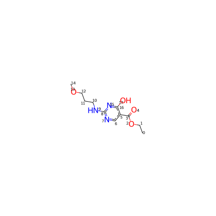 CCOC(=O)c1cnc(NCCCOC)nc1O